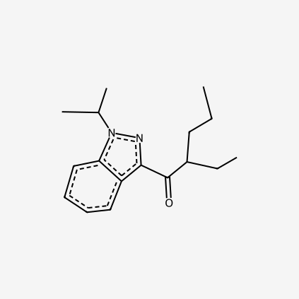 CCCC(CC)C(=O)c1nn(C(C)C)c2ccccc12